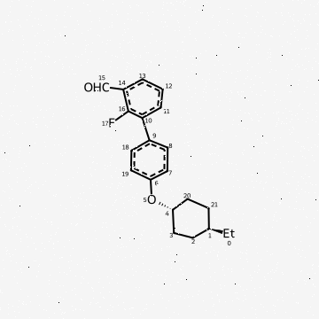 CC[C@H]1CC[C@H](Oc2ccc(-c3cccc(C=O)c3F)cc2)CC1